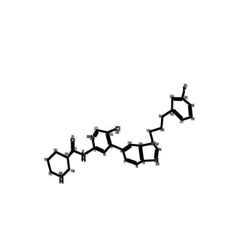 O=C(Nc1cc(-c2ccc3ncn(CCCc4cccc(F)c4)c3c2)c(Cl)cn1)[C@@H]1CCCNC1